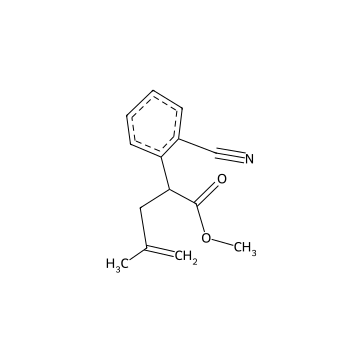 C=C(C)CC(C(=O)OC)c1ccccc1C#N